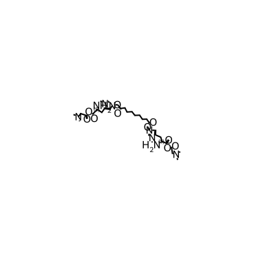 CN(C)CC(=O)OC(=O)[C@@H](N)CC1=CN(OC(=O)CCCCCCCC(=O)ON2C=C(C[C@H](N)C(=O)OC(=O)CN(C)C)N(C)C2)CN1C